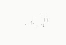 C=C(C)p1[nH][pH]npn1Oc1ccccc1